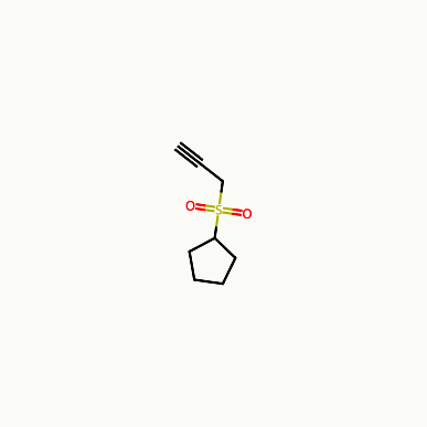 C#CCS(=O)(=O)C1CCCC1